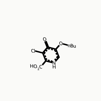 CCCCOc1c[nH]c(C(=O)O)c(Cl)c1=O